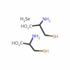 NC(CS)C(=O)O.NC(CS)C(=O)O.[SeH2]